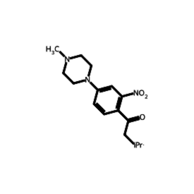 C[C](C)CC(=O)c1ccc(N2CCN(C)CC2)cc1[N+](=O)[O-]